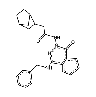 O=C(CC1CC2CCC1C2)Nn1nc(NCc2ccccc2)c2ccccc2c1=O